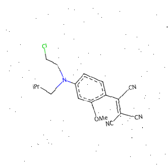 COc1cc(N(CCCl)CC(C)C)ccc1C(C#N)=C(C#N)C#N